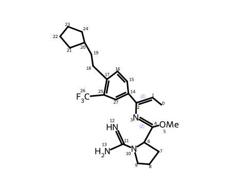 C/C=C(\N=C(/OC)C1CCCN1C(=N)N)c1ccc(CCC2CCCC2)c(C(F)(F)F)c1